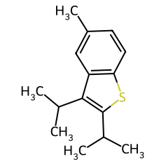 Cc1ccc2sc(C(C)C)c(C(C)C)c2c1